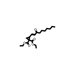 CCCCCCCC(=O)C=CC1CC1(C(=O)OCC)C(=O)OCC